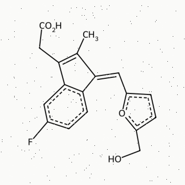 CC1=C(CC(=O)O)c2cc(F)ccc2/C1=C\c1ccc(CO)o1